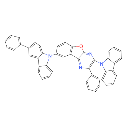 c1ccc(-c2ccc3c(c2)c2ccccc2n3-c2ccc3oc4nc(-n5c6ccccc6c6ccccc65)c(-c5ccccc5)nc4c3c2)cc1